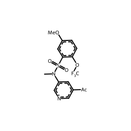 COc1ccc(OC(F)(F)F)c(S(=O)(=O)N(C)c2cncc(C(C)=O)c2)c1